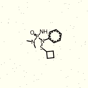 CN(C)P(N)(=O)N(SC1CCC1)c1ccccc1